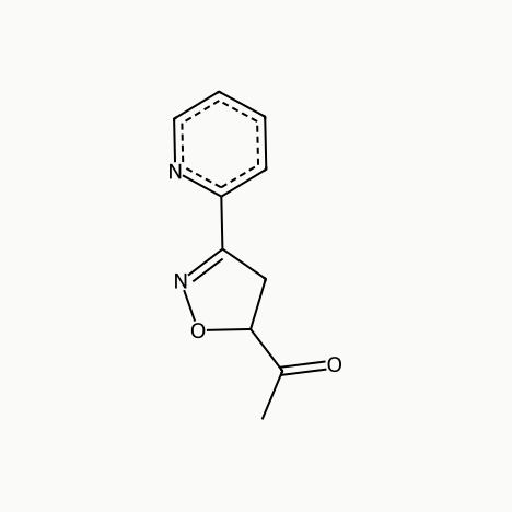 CC(=O)C1CC(c2ccccn2)=NO1